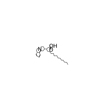 CCCCCCCCCCCCCC(CC(=O)O)C1CCN2CCC3C=CC=CC3=C2C1